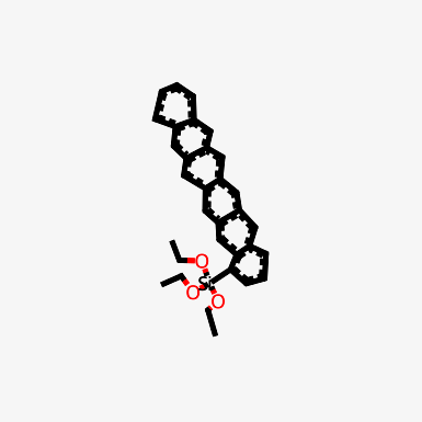 CCO[Si](OCC)(OCC)c1cccc2cc3cc4cc5cc6ccccc6cc5cc4cc3cc12